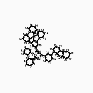 c1ccc(-c2ccccc2-c2nc(-c3cccc(-c4cccc5c4sc4ccccc45)c3)nc(-c3ccc4c(c3)-c3ccccc3C43c4ccccc4-c4ccccc43)n2)cc1